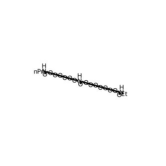 CCCNC(=O)CCOCCOCCOCCOCCOCCOCCNC(=O)CCOCCOCCOCCOCCOCCOCCOCCC(=O)NCC